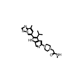 CNC(=O)CN1CCN(c2cc3c(C(C)C)c(-c4cc(C)c5ncnn5c4)[nH]c3cn2)CC1